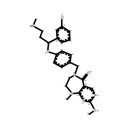 CNCCC(Oc1ccc(CN2CCN(C)c3nc(OC)ncc3C2=O)cc1)c1cccc(Cl)c1